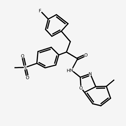 Cc1cccc2oc(NC(=O)C(Cc3ccc(F)cc3)c3ccc(S(C)(=O)=O)cc3)nc12